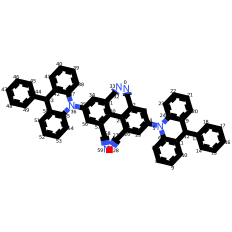 N#Cc1cc(N2c3ccccc3C(c3ccccc3)c3ccccc32)cc(C#N)c1-c1c(C#N)cc(N2c3ccccc3C(c3ccccc3)c3ccccc32)cc1C#N